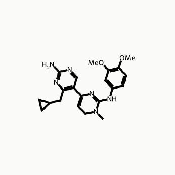 COc1ccc(NC2=NC(c3cnc(N)nc3CC3CC3)=CCN2C)cc1OC